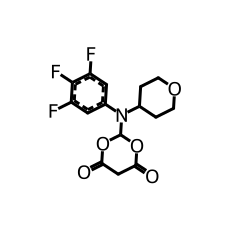 O=C1CC(=O)OC(N(c2cc(F)c(F)c(F)c2)C2CCOCC2)O1